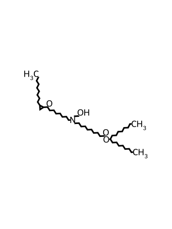 CCCCCCCCCC1CC1C(=O)CCCCCCCN(CCO)CCCCCCCCCC(=O)OC(CCCCCCCC)CCCCCCCC